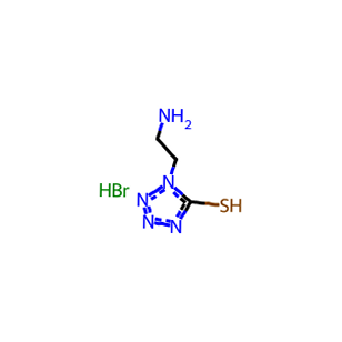 Br.NCCn1nnnc1S